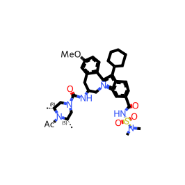 COc1ccc2c(c1)CC(NC(=O)N1C[C@@H](C)N(C(C)=O)[C@@H](C)C1)Cn1c-2c(C2CCCCC2)c2ccc(C(=O)NS(=O)(=O)N(C)C)cc21